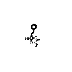 CCOC(C)O[C@H]1C(=O)N[C@H]1C=Cc1ccccc1